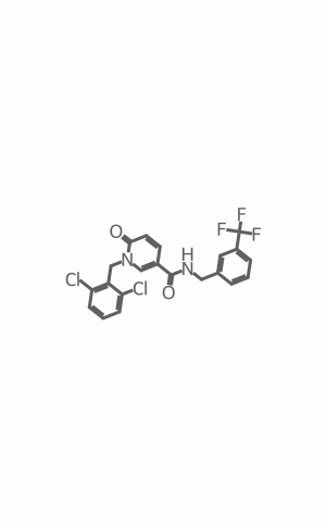 O=C(NCc1cccc(C(F)(F)F)c1)c1ccc(=O)n(Cc2c(Cl)cccc2Cl)c1